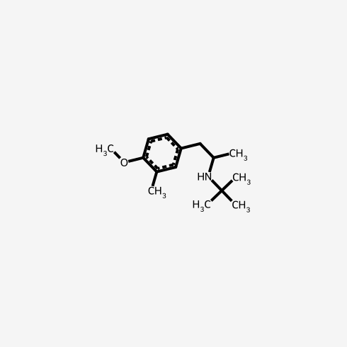 COc1ccc(CC(C)NC(C)(C)C)cc1C